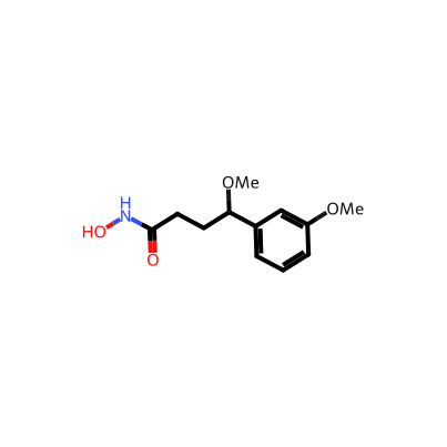 COc1cccc(C(CCC(=O)NO)OC)c1